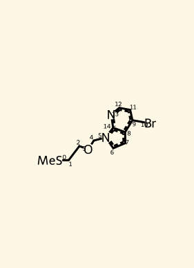 CSCCOCn1ccc2c(Br)ccnc21